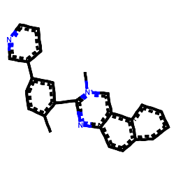 Cc1ccc(-c2cccnc2)cc1-c1nc2ccc3ccccc3c2c[n+]1C